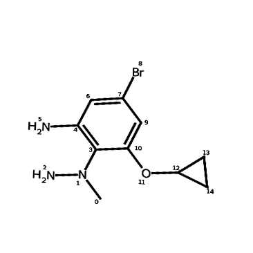 CN(N)c1c(N)cc(Br)cc1OC1CC1